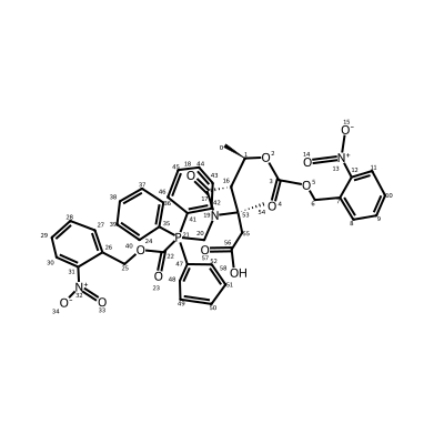 C[C@@H](OC(=O)OCc1ccccc1[N+](=O)[O-])[C@H]1C(=O)N(CP(C(=O)OCc2ccccc2[N+](=O)[O-])(c2ccccc2)(c2ccccc2)c2ccccc2)[C@]1(C)CC(=O)O